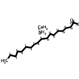 CCCCCCCCCCCCCCCCCC(=O)O.N.[CaH2]